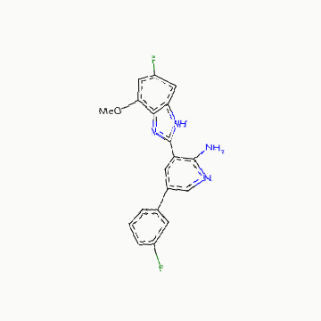 COc1cc(F)cc2[nH]c(-c3cc(-c4cccc(F)c4)cnc3N)nc12